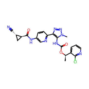 C[C@@H](OC(=O)Nc1c(-c2ccc(NC(=O)[C@H]3C[C@@H]3C#N)cn2)nnn1C)c1cccnc1Cl